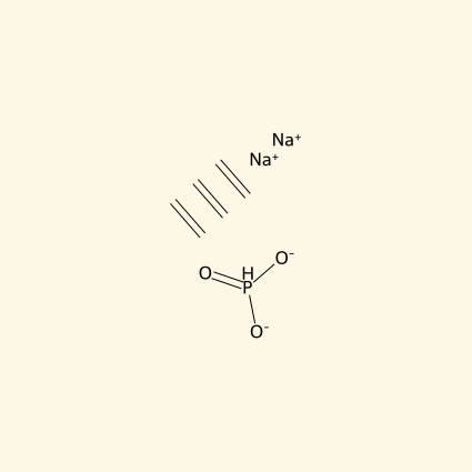 C=C.C=C.C=C.O=[PH]([O-])[O-].[Na+].[Na+]